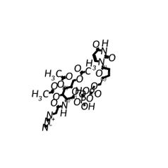 CC(=O)OCC1O[C@H](OP(=O)(O)OP(=O)(O)OC[C@@H]2CC[C@H](n3ccc(=O)[nH]c3=O)O2)[C@@H](NC(=O)CN=[N+]=[N-])C(OC(C)=O)[C@H]1OC(C)=O